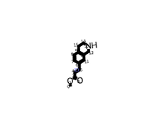 COC(=O)/C=C/c1ccc2c(c1)CNCC2